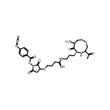 CC(=O)C1CSSCC(N)C(=O)[C@H](CCCNC(=N)CCCSC2CC(=O)N(OC(=O)c3ccc(N=[N+]=[N-])cc3)C2=O)N1